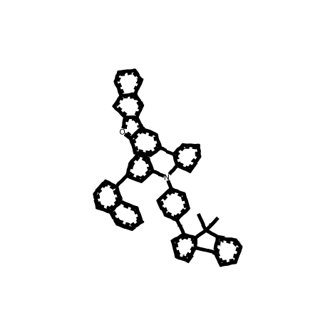 CC1(C)c2ccccc2-c2cccc(-c3ccc(N(c4cccc(-c5cccc6ccccc56)c4)c4ccccc4-c4ccc5oc6cc7ccccc7cc6c5c4)cc3)c21